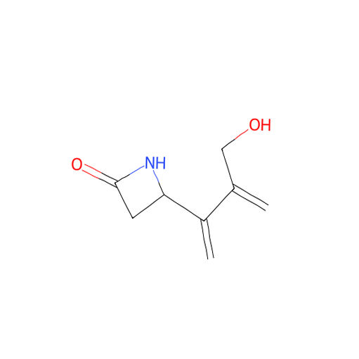 C=C(CO)C(=C)C1CC(=O)N1